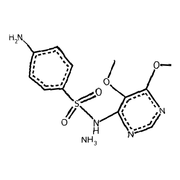 COc1ncnc(NS(=O)(=O)c2ccc(N)cc2)c1OC.N